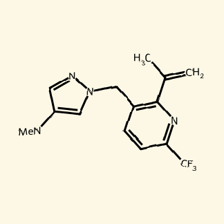 C=C(C)c1nc(C(F)(F)F)ccc1Cn1cc(NC)cn1